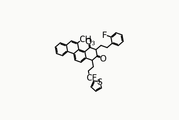 Cc1cc2ccccc2c2ccc3c(c12)C(=O)C(CCc1ccccc1F)C(=O)C3CCC(F)(F)F.c1ccsc1